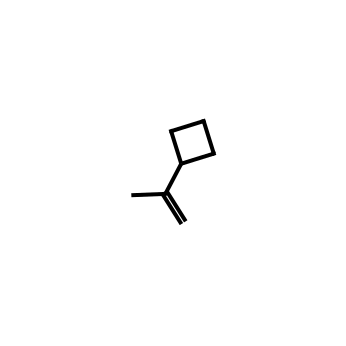 C=C(C)C1CCC1